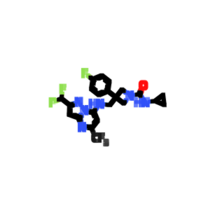 O=C(NC1CC1)N1CC(CNc2cc(C(F)(F)F)nc3cc(C(F)F)nn23)(c2ccc(F)cc2)C1